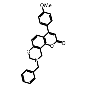 COc1ccc(-c2cc(=O)oc3c4c(ccc23)OCN(Cc2ccccc2)C4)cc1